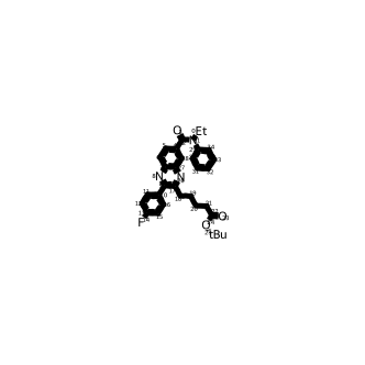 CCN(C(=O)c1ccc2nc(-c3ccc(F)cc3)c(CCCCC(=O)OC(C)(C)C)nc2c1)c1ccccc1